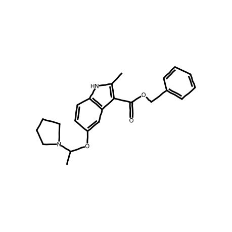 Cc1[nH]c2ccc(OC(C)N3CCCC3)cc2c1C(=O)OCc1ccccc1